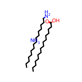 CCCCCCCCCCCCCCCC(=O)O.CCCCCCCCCCCCCCCCN.N